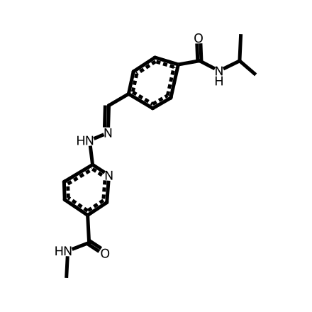 CNC(=O)c1ccc(N/N=C/c2ccc(C(=O)NC(C)C)cc2)nc1